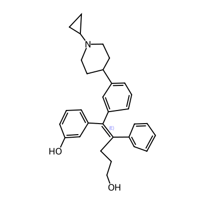 OCCC/C(=C(\c1cccc(O)c1)c1cccc(C2CCN(C3CC3)CC2)c1)c1ccccc1